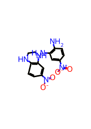 Nc1ccc([N+](=O)[O-])cc1N.O=[N+]([O-])c1ccc2c(c1)NCCN2